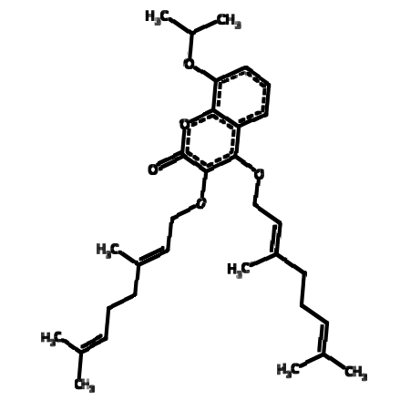 CC(C)=CCC/C(C)=C/COc1c(OC/C=C(\C)CCC=C(C)C)c2cccc(OC(C)C)c2oc1=O